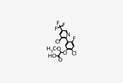 COC(Oc1cc(-c2ncc(C(F)(F)F)cc2Cl)c(F)cc1Cl)C(=O)O